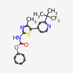 Cc1nc(NC(=O)Oc2ccccc2)sc1-c1ccnc(C(C)(C)C(F)(F)F)c1